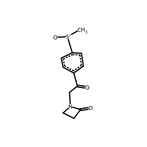 C[S+]([O-])c1ccc(C(=O)CN2CCC2=O)cc1